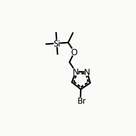 CC(OCn1cc(Br)cn1)[Si](C)(C)C